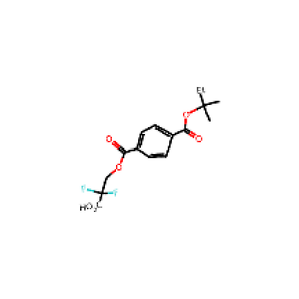 CCC(C)(C)OC(=O)c1ccc(C(=O)OCC(F)(F)C(=O)O)cc1